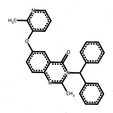 Cc1ncccc1Oc1ccc2nc(C)n(C(c3ccccc3)c3ccccc3)c(=O)c2c1